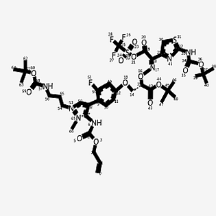 C=CCOC(=O)Nc1c(-c2ccc(OC[C@H](O/N=C(\C(=O)OS(=O)(=O)C(F)(F)F)c3csc(NC(=O)OC(C)(C)C)n3)C(=O)OC(C)(C)C)cc2F)cn(CCCNC(=O)OC(C)(C)C)[n+]1C